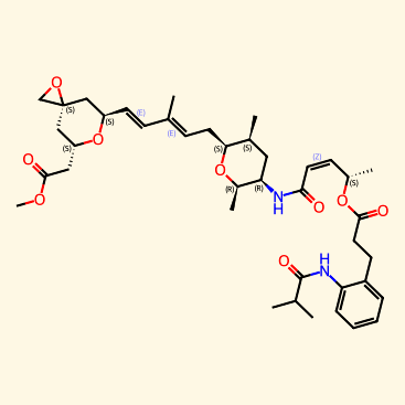 COC(=O)C[C@@H]1C[C@@]2(CO2)C[C@@H](/C=C/C(C)=C/C[C@@H]2O[C@H](C)[C@H](NC(=O)/C=C\[C@H](C)OC(=O)CCc3ccccc3NC(=O)C(C)C)C[C@@H]2C)O1